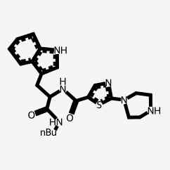 CCCCNC(=O)C(Cc1c[nH]c2ccccc12)NC(=O)c1cnc(N2CCNCC2)s1